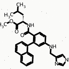 COC(=O)[C@H](CC(C)C)NC(=O)c1ccc(NCc2c[nH]cn2)cc1-c1cccc2ccccc12